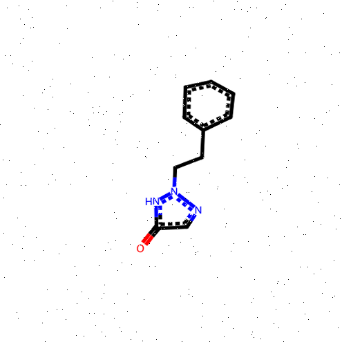 O=c1cnn(CCc2ccccc2)[nH]1